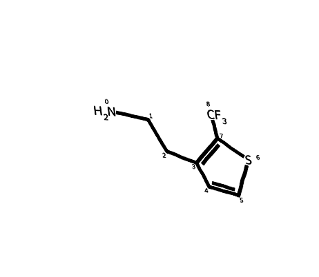 NCCc1ccsc1C(F)(F)F